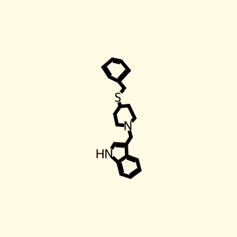 c1ccc(CSC2CCN(Cc3c[nH]c4ccccc34)CC2)cc1